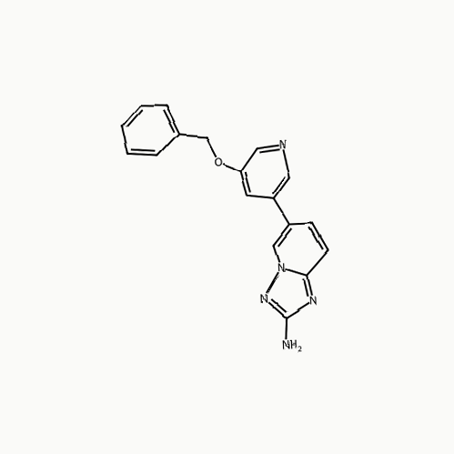 Nc1nc2ccc(-c3cncc(OCc4ccccc4)c3)cn2n1